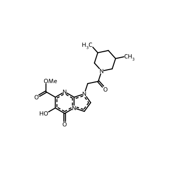 COC(=O)c1nc2n(CC(=O)N3CC(C)CC(C)C3)ccn2c(=O)c1O